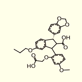 CCCOc1ccc2c(c1)C(c1ccc(OC)cc1OCC(=O)O)C(C(=O)O)[C@H]2c1ccc2c(c1)OCO2